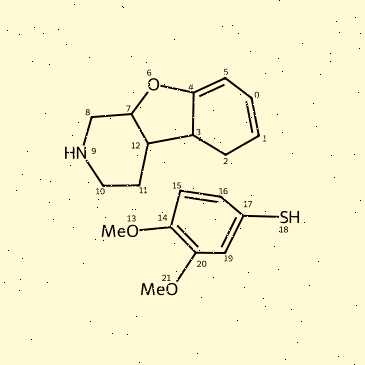 C1=CCC2C(=C1)OC1CNCCC12.COc1ccc(S)cc1OC